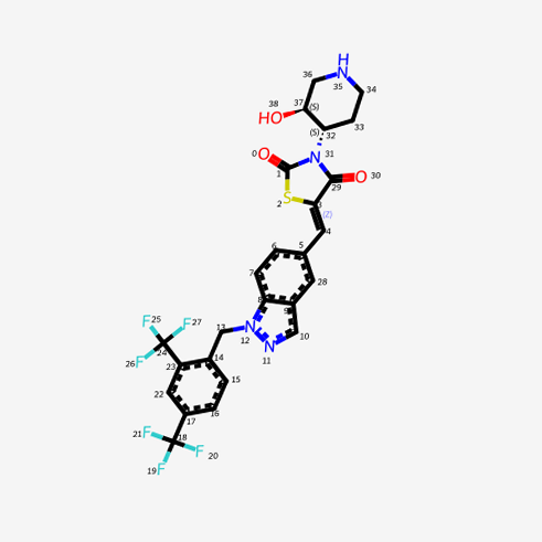 O=C1S/C(=C\c2ccc3c(cnn3Cc3ccc(C(F)(F)F)cc3C(F)(F)F)c2)C(=O)N1[C@H]1CCNC[C@@H]1O